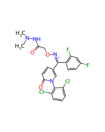 CN(C)NC(=O)CO/N=C(\c1ccc(=O)n(-c2c(Cl)cccc2Cl)c1)c1ccc(F)cc1F